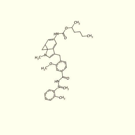 C=[Si](NC(=O)c1ccc(CC2=CN(C)C34CC3C=C(NC(=O)OC(C)CCCC)C=C24)c(OC)c1)c1ccccc1C